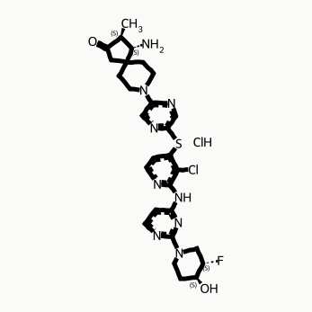 C[C@@H]1C(=O)CC2(CCN(c3cnc(Sc4ccnc(Nc5ccnc(N6CC[C@H](O)[C@@H](F)C6)n5)c4Cl)cn3)CC2)[C@H]1N.Cl